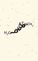 C=CCCC1CCC(C2CCC(c3ccc(OCC)c(F)c3C(F)F)CO2)CC1